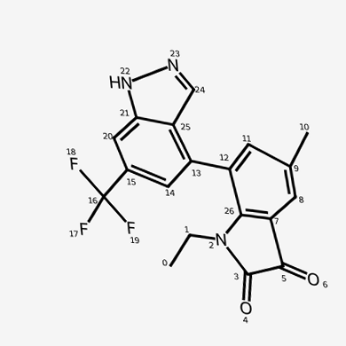 CCN1C(=O)C(=O)c2cc(C)cc(-c3cc(C(F)(F)F)cc4[nH]ncc34)c21